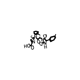 Cc1cccc(C2NC(=O)N([C@@H](Cc3ccccc3)C(=O)Nc3nc(C(=O)O)cs3)C2=O)c1